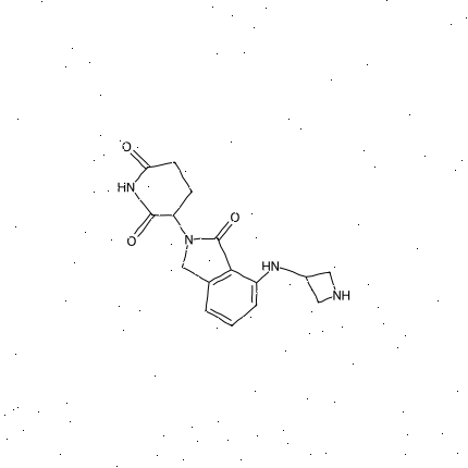 O=C1CCC(N2Cc3cccc(NC4CNC4)c3C2=O)C(=O)N1